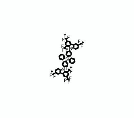 FC(F)(F)c1ccc2c(c1)c1cc(C(F)(F)F)cc(C(F)(F)F)c1n2-c1ccc([Si](c2ccccc2)(c2ccccc2)c2ccc(-n3c4ccc(C(F)(F)F)cc4c4cc(C(F)(F)F)cc(C(F)(F)F)c43)cc2)cc1